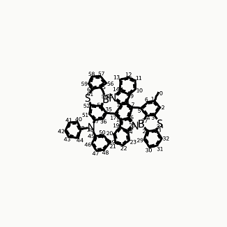 Cc1cc2c3c(c1)-c1c4c5ccccc5n5c4c(c4c6ccccc6n(c14)B3c1ccccc1S2)-c1cc(N(c2ccccc2)c2ccccc2)cc2c1B5c1ccccc1S2